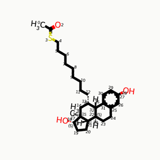 CC(=O)SCCCCCCCCC[C@H]1C[C@]2(C)[C@@H](O)CC[C@H]2[C@@H]2CCc3cc(O)ccc3[C@@H]12